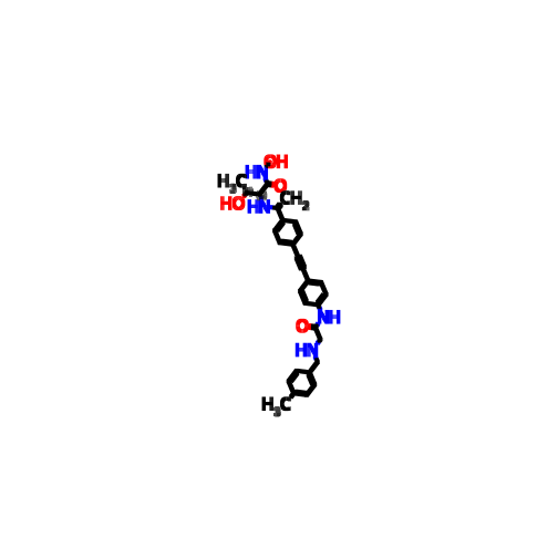 C=C(N[C@H](C(=O)NO)[C@@H](C)O)c1ccc(C#Cc2ccc(NC(=O)CNCc3ccc(C)cc3)cc2)cc1